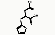 O=C(O)CC(Sc1cccs1)C(=O)O